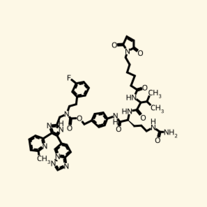 Cc1cccc(-c2nc(CN(CCc3cccc(F)c3)C(=O)OCc3ccc(NC(=O)[C@H](CCCNC(N)=O)NC(=O)C(NC(=O)CCCCCN4C(=O)C=CC4=O)C(C)C)cc3)[nH]c2-c2ccc3ncnn3c2)n1